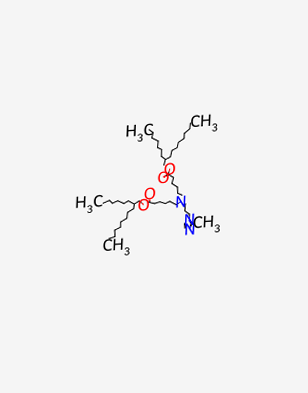 CCCCCCCCCC(CCCCCCC)COC(=O)CCCCCN(CCCCCC(=O)OCC(CCCCCCC)CCCCCCCCC)CCCn1ccnc1C